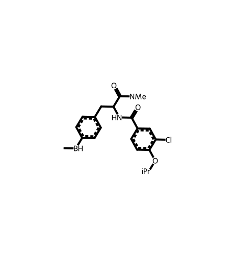 CBc1ccc(CC(NC(=O)c2ccc(OC(C)C)c(Cl)c2)C(=O)NC)cc1